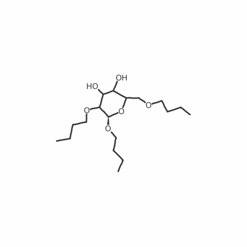 CCCCOCC1O[C@@H](OCCCC)C(OCCCC)C(O)C1O